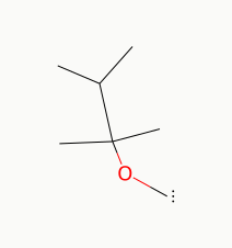 [C]OC(C)(C)C(C)C